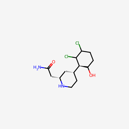 NC(=O)C[C@@H]1C[C@H]([C@@H]2C(O)CCC(Cl)C2Cl)CCN1